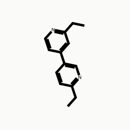 CCc1[c]c(-c2ccc(CC)nc2)ccn1